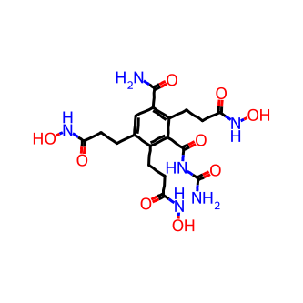 NC(=O)NC(=O)c1c(CCC(=O)NO)c(CCC(=O)NO)cc(C(N)=O)c1CCC(=O)NO